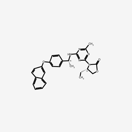 CC[C@H]1COC(=O)N1c1nc(C)nc(N[C@H](C)c2ccc(Oc3ccc4ccccc4c3)cc2)n1